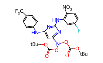 CC(C)(C)OC(=O)ON(OC(=O)OC(C)(C)C)c1cc(Nc2ccc(C(F)(F)F)cc2)nc(Nc2cc(F)ccc2[N+](=O)[O-])n1